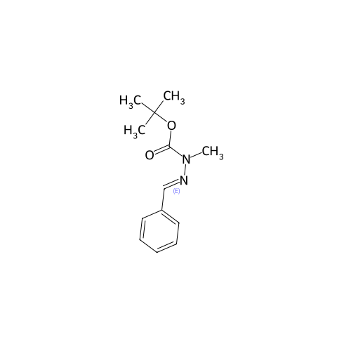 CN(/N=C/c1ccccc1)C(=O)OC(C)(C)C